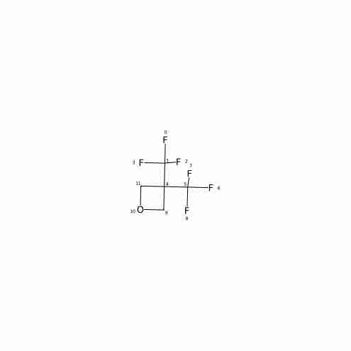 FC(F)(F)C1(C(F)(F)F)COC1